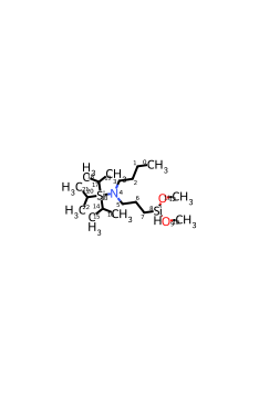 CCCCN(CCC[SiH](OC)OC)[Si](C(C)C)(C(C)C)C(C)C